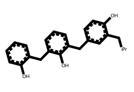 CC(C)Cc1cc(Cc2cccc(Cc3ccccc3O)c2O)ccc1O